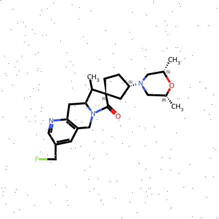 CC1C2Cc3ncc(CF)cc3CN2C(=O)[C@]12CC[C@H](N1C[C@@H](C)O[C@@H](C)C1)C2